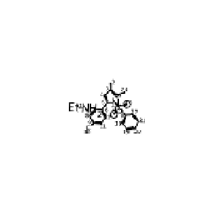 CCN.Cc1cc(-c2ccc(F)cc2)n(S(=O)(=O)c2ccccc2)c1C